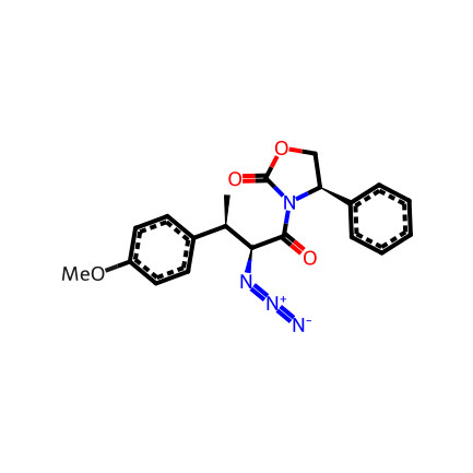 COc1ccc([C@@H](C)[C@H](N=[N+]=[N-])C(=O)N2C(=O)OC[C@H]2c2ccccc2)cc1